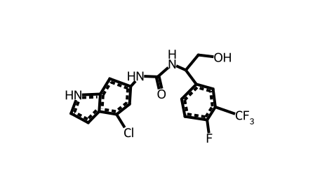 O=C(Nc1cc(Cl)c2cc[nH]c2c1)NC(CO)c1ccc(F)c(C(F)(F)F)c1